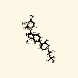 CC1CN(C(=O)OC(C)(C)C)CC=C1c1ccc2c(N3CCC(=O)NC3=O)nn(C)c2c1